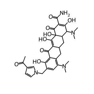 CC(=O)c1ccn(Cc2cc(N(C)C)c3c(c2O)C(=O)C2=C(O)C4(O)C(=O)C(C(N)=O)=C(O)C(N(C)C)C4CC2C3)c1